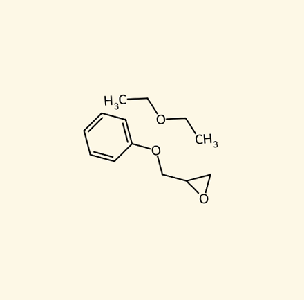 CCOCC.c1ccc(OCC2CO2)cc1